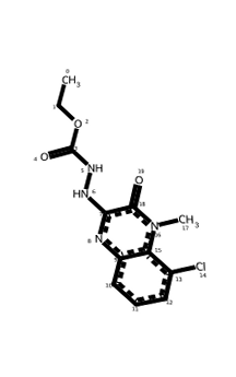 CCOC(=O)NNc1nc2cccc(Cl)c2n(C)c1=O